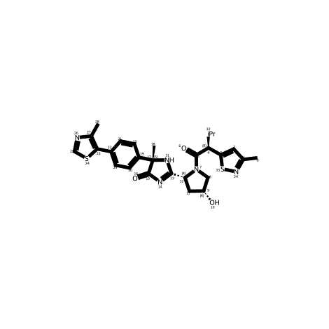 Cc1cc([C@@H](C(=O)N2C[C@H](O)C[C@@H]2C2=NC(=O)[C@](C)(c3ccc(-c4scnc4C)cc3)N2)C(C)C)sn1